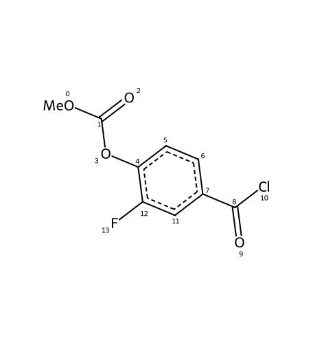 COC(=O)Oc1ccc(C(=O)Cl)cc1F